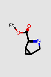 CCOC(=O)C1=NCC2CC12